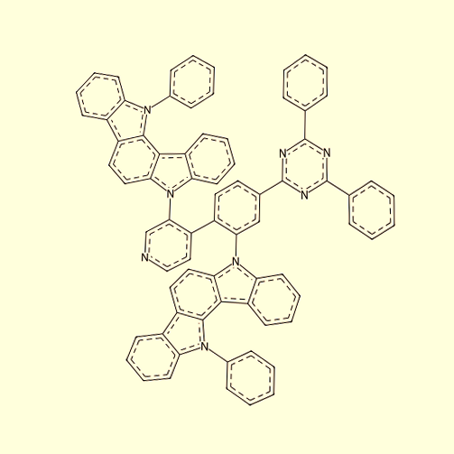 c1ccc(-c2nc(-c3ccccc3)nc(-c3ccc(-c4ccncc4-n4c5ccccc5c5c4ccc4c6ccccc6n(-c6ccccc6)c45)c(-n4c5ccccc5c5c4ccc4c6ccccc6n(-c6ccccc6)c45)c3)n2)cc1